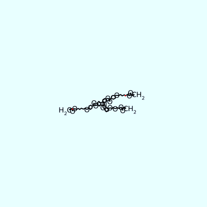 C=CC(=O)OCCCCCCOC1CCC(C(=O)Oc2ccc3c(c2)nc(Oc2cccc(OCCOCCOC(=O)C=C)c2)c2cc(OC(=O)C4CCC(OCCCCCCOC(=O)C=C)CC4)ccc23)CC1